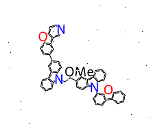 COC(Cn1c2ccccc2c2cc(-c3ccc4oc5ccncc5c4c3)ccc21)c1ccc2c(c1)c1ccccc1n2-c1cccc2c1oc1ccccc12